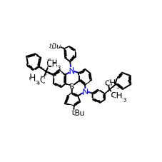 CC(C)(C)c1cccc(N2c3cc(C(C)(C)c4ccccc4)ccc3B3c4ccc(C(C)(C)C)cc4N(c4cccc(C(C)(C)c5ccccc5)c4)c4cccc2c43)c1